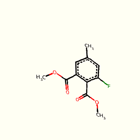 COC(=O)c1cc(C)cc(F)c1C(=O)OC